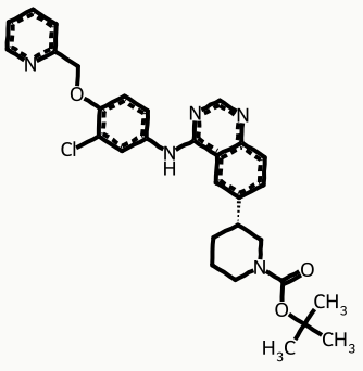 CC(C)(C)OC(=O)N1CCC[C@H](c2ccc3ncnc(Nc4ccc(OCc5ccccn5)c(Cl)c4)c3c2)C1